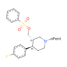 CCCCCN1CC[C@@H](c2ccc(F)cc2)[C@H](COS(=O)(=O)c2ccccc2)C1